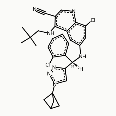 [2H][C@@](Nc1cc(Cl)c2ncc(C#N)c(NCC(C)(C)C)c2c1)(c1cn(C23CC(C2)C3)nn1)c1ccccc1Cl